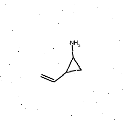 C=CC1CC1N